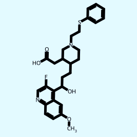 COc1ccc2ncc(F)c(C(O)CCC3CCN(CCSc4ccccc4)CC3CC(=O)O)c2c1